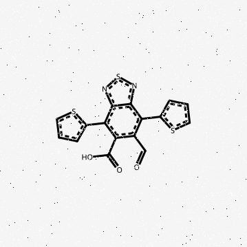 O=Cc1c(C(=O)O)c(-c2cccs2)c2nsnc2c1-c1cccs1